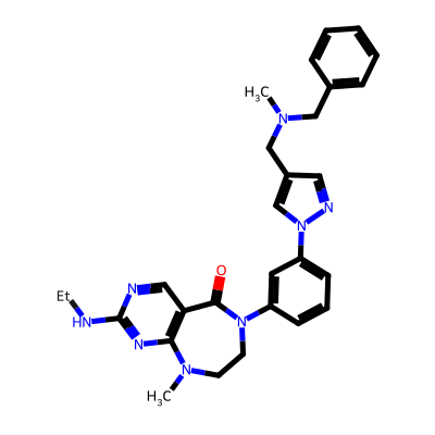 CCNc1ncc2c(n1)N(C)CCN(c1cccc(-n3cc(CN(C)Cc4ccccc4)cn3)c1)C2=O